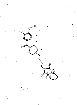 COc1ccc(C(=O)N2CCN(CCCCN3C(=O)[C@@H]4C5CCC(C5)[C@@H]4C3=O)CC2)cc1O